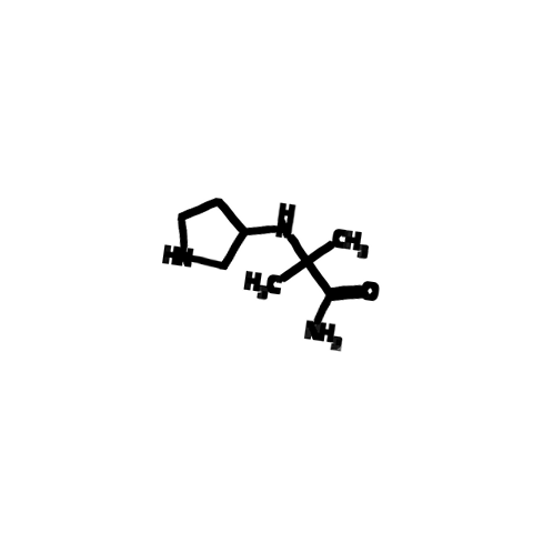 CC(C)(NC1CCNC1)C(N)=O